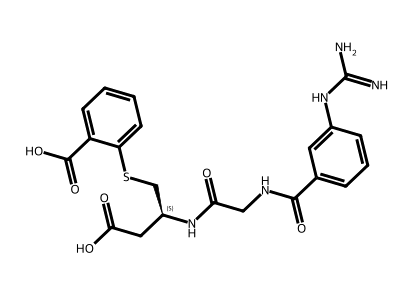 N=C(N)Nc1cccc(C(=O)NCC(=O)N[C@H](CSc2ccccc2C(=O)O)CC(=O)O)c1